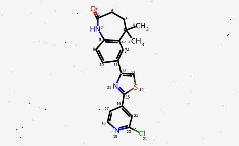 CC1(C)CCC(=O)Nc2ccc(-c3csc(-c4ccnc(Cl)c4)n3)cc21